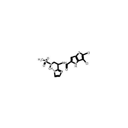 CN(CC(NC(=O)c1cc2sc(Cl)c(Cl)c2[nH]1)c1nccs1)S(C)(=O)=O